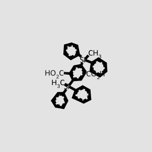 C[Si](c1ccccc1)(c1ccccc1)c1cc(C(=O)O)c([Si](C)(c2ccccc2)c2ccccc2)cc1C(=O)O